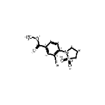 COC(=O)c1ccc(N2CCCS2(=O)=O)c(F)c1